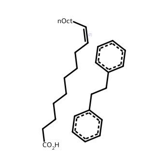 CCCCCCCC/C=C\CCCCCCCC(=O)O.c1ccc(CCc2ccccc2)cc1